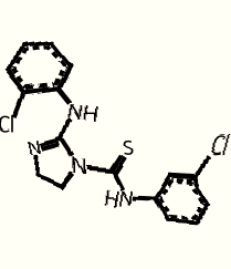 S=C(Nc1cccc(Cl)c1)N1CCN=C1Nc1ccccc1Cl